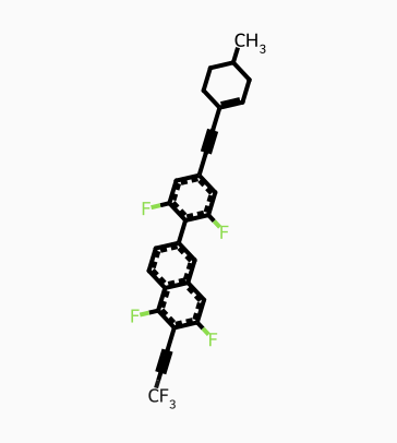 CC1CC=C(C#Cc2cc(F)c(-c3ccc4c(F)c(C#CC(F)(F)F)c(F)cc4c3)c(F)c2)CC1